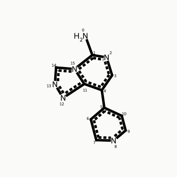 Nc1ncc(-c2ccncc2)c2nncn12